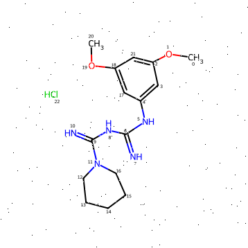 COc1cc(NC(=N)NC(=N)N2CCCCC2)cc(OC)c1.Cl